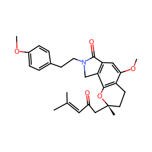 COc1ccc(CCN2Cc3c(cc(OC)c4c3O[C@@](C)(CC(=O)C=C(C)C)CC4)C2=O)cc1